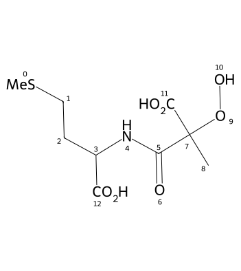 CSCCC(NC(=O)C(C)(OO)C(=O)O)C(=O)O